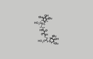 CC(C)(C)c1cc(CC(CCNC(=O)C(=O)NCCC(Cc2cc(C(C)(C)C)c(O)c(C(C)(C)C)c2)C(=O)O)C(=O)O)cc(C(C)(C)C)c1O